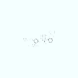 COc1ccc(CNC(=O)Nc2cccc3c2CC(O)CC3)c(OC)c1